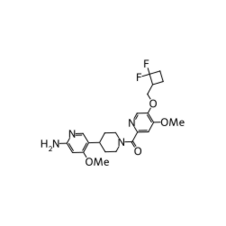 COc1cc(C(=O)N2CCC(c3cnc(N)cc3OC)CC2)ncc1OCC1CCC1(F)F